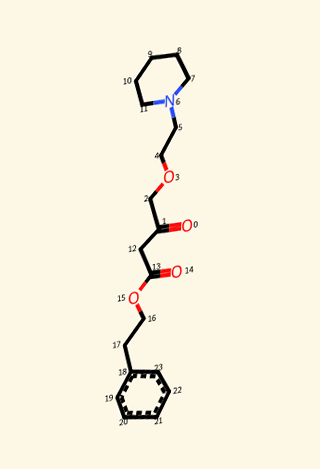 O=C(COCCN1CCCCC1)CC(=O)OCCc1ccccc1